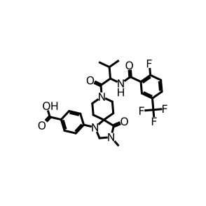 CC(C)C(NC(=O)c1cc(C(F)(F)F)ccc1F)C(=O)N1CCC2(CC1)C(=O)N(C)CN2c1ccc(C(=O)O)cc1